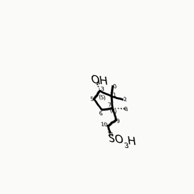 CC1(C)[C@@H](O)CC[C@]1(C)CCS(=O)(=O)O